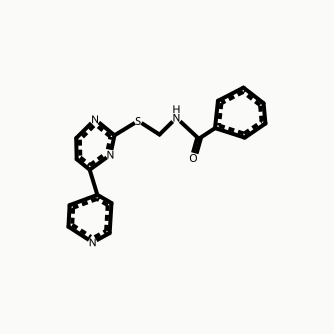 O=C(NCSc1nccc(-c2ccncc2)n1)c1ccccc1